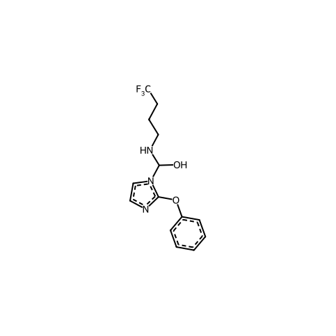 OC(NCCCC(F)(F)F)n1ccnc1Oc1ccccc1